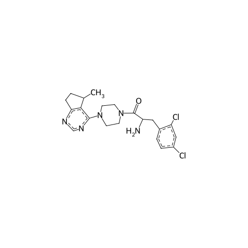 CC1CCc2ncnc(N3CCN(C(=O)C(N)Cc4ccc(Cl)cc4Cl)CC3)c21